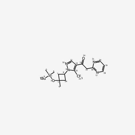 CC1(O[Si](C)(C)C(C)(C)C)CC(n2ncc(C(=O)Cc3ncccn3)c2C(F)(F)F)C1